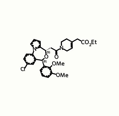 CCOC(=O)CC1=CCN(C(=O)C[C@@H]2O[C@@H](c3cccc(OC)c3OC)c3cc(Cl)ccc3-n3cccc32)CC1